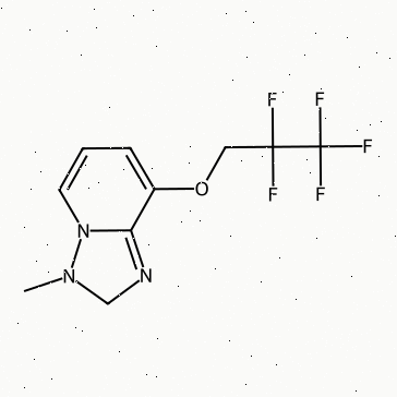 CN1CN=C2C(OCC(F)(F)C(F)(F)F)=CC=CN21